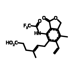 C=Cc1c(C)c2c(c(NC(=O)C(F)(F)F)c1C/C=C(\C)CCC(=O)O)C(=O)OC2